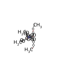 [C-]#[N+]/C(C(=O)OCCCCOC(=O)C=C)=C1/Sc2c(OC(=O)C3CCC(C4CCC(CCCC)CC4)CC3)ccc(OC(=O)C3CCC(C4CCC(CCCC)CC4)CC3)c2N1CCCCOC(=O)C=C